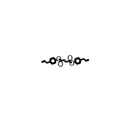 C=CCc1ccc(OC(=O)/C=C/C(=O)Oc2ccc(CC=C)cc2)cc1